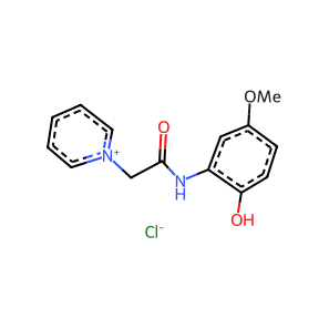 COc1ccc(O)c(NC(=O)C[n+]2ccccc2)c1.[Cl-]